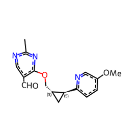 COc1ccc([C@H]2C[C@@H]2COc2nc(C)ncc2C=O)nc1